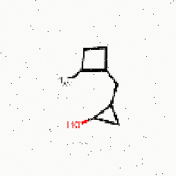 CC1CCC1CC1CC1O